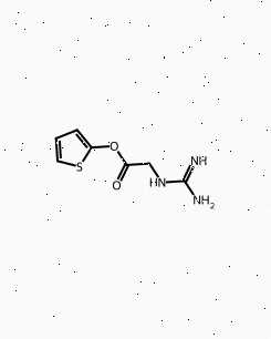 N=C(N)NCC(=O)Oc1cccs1